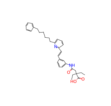 CCC(CC)(CC(=O)Nc1cccc(C=Cc2cccc(CCCCCCc3ccccc3)n2)c1)C(=O)O